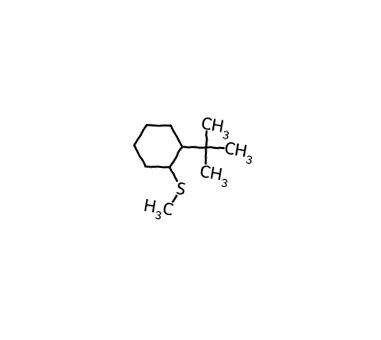 CSC1CCCCC1C(C)(C)C